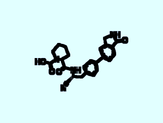 N#C[C@H](Cc1ccc(-c2ccc3c(c2)CNC3=O)cc1)NC(=O)C1CCCCN1C(=O)O